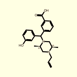 C=CCN1C[C@@H](C)N(C(c2cccc(O)c2)c2cccc(C(=O)O)c2)C[C@H]1C